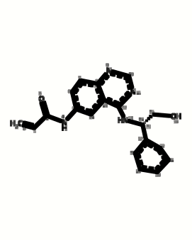 C=CC(=O)Nc1ccc2ncnc(N[C@H](CO)c3ccccc3)c2c1